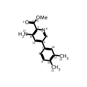 COC(=O)c1ncc(-c2ccc(C)c(C)c2)cc1N